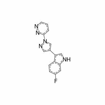 Fc1ccc2c(-c3cnn(-c4cccnn4)c3)c[nH]c2c1